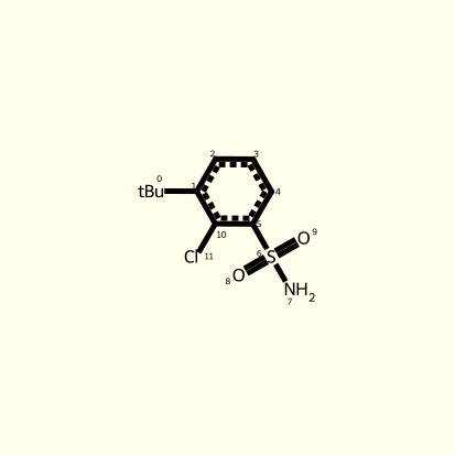 CC(C)(C)c1cccc(S(N)(=O)=O)c1Cl